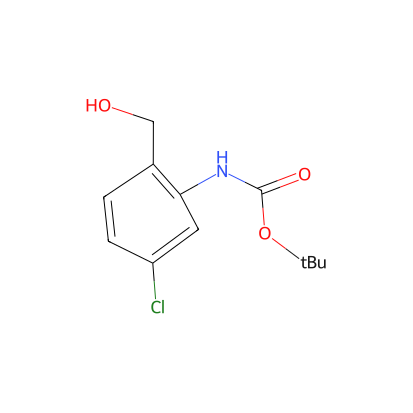 CC(C)(C)OC(=O)Nc1cc(Cl)ccc1CO